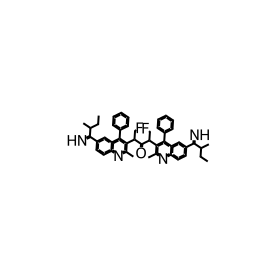 CCC(C)C(=N)c1ccc2nc(C)c(C(CF)C(=O)C(CF)c3c(C)nc4ccc(C(=N)C(C)CC)cc4c3-c3ccccc3)c(-c3ccccc3)c2c1